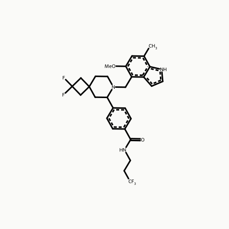 COc1cc(C)c2[nH]ccc2c1CN1CCC2(CC1c1ccc(C(=O)NCCC(F)(F)F)cc1)CC(F)(F)C2